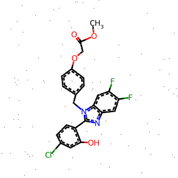 COC(=O)COc1ccc(Cn2c(-c3ccc(Cl)cc3O)nc3cc(F)c(F)cc32)cc1